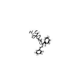 C=CC(=O)OCCOC(CCc1ccccc1)c1ccccc1